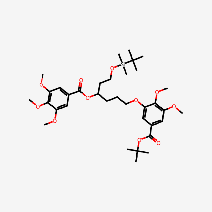 COc1cc(C(=O)OC(CCCOc2cc(C(=O)OC(C)(C)C)cc(OC)c2OC)CCO[Si](C)(C)C(C)(C)C)cc(OC)c1OC